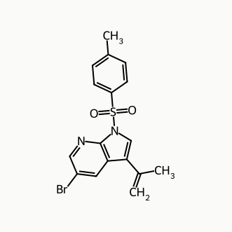 C=C(C)c1cn(S(=O)(=O)c2ccc(C)cc2)c2ncc(Br)cc12